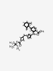 CC(C)(C)OC(=O)N1CC(Cn2cc(Nc3cc(-c4c(F)cccc4F)nnc3C(=O)O)cn2)C1